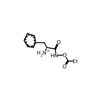 CCC(=O)ONC(=O)[C@@H](N)Cc1ccccc1